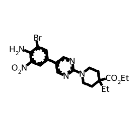 CCOC(=O)C1(CC)CCN(c2ncc(-c3cc(Br)c(N)c([N+](=O)[O-])c3)cn2)CC1